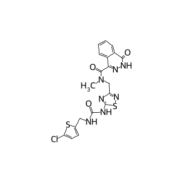 CN(Cc1nsc(NC(=O)NCc2ccc(Cl)s2)n1)C(=O)c1n[nH]c(=O)c2ccccc12